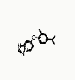 Cc1cc(C(C)C)ccc1Oc1ccn2ncnc2c1